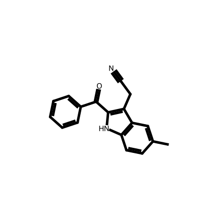 Cc1ccc2[nH]c(C(=O)c3ccccc3)c(CC#N)c2c1